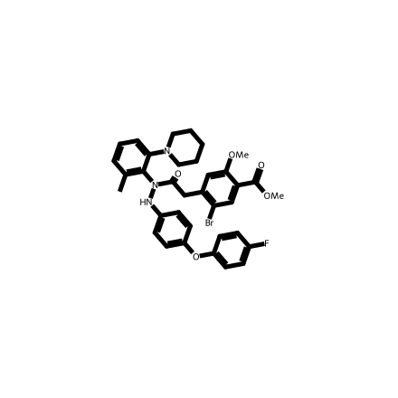 COC(=O)c1cc(Br)c(CC(=O)N(Nc2ccc(Oc3ccc(F)cc3)cc2)c2c(C)cccc2N2CCCCC2)cc1OC